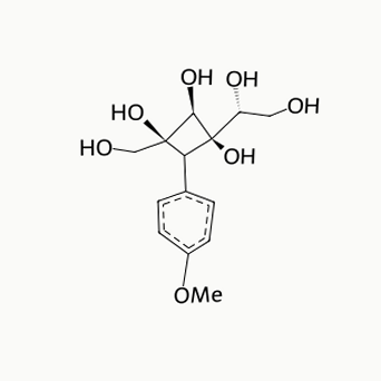 COc1ccc(C2[C@@](O)([C@H](O)CO)[C@H](O)[C@@]2(O)CO)cc1